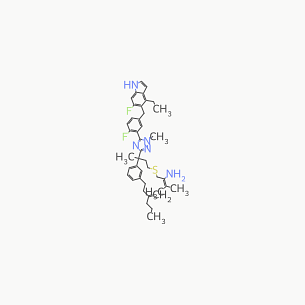 C=C(CCC)CCc1cccc(C(C)(CCSCC(N)=C(C)C)c2nc(-c3cc(Cc4c(F)cc5[nH]ccc5c4CC)ccc3F)n(C)n2)c1